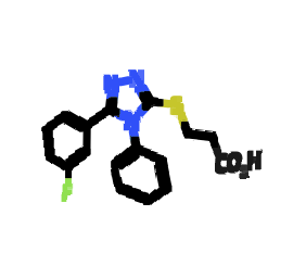 O=C(O)CCSc1nnc(-c2cccc(F)c2)n1-c1ccccc1